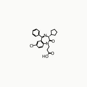 O=C(O)CCN1C(=O)[C@H](C2CCCC2)N=C(c2ccccc2)c2cc(Cl)ccc21